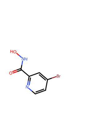 O=C(NO)c1cc(Br)ccn1